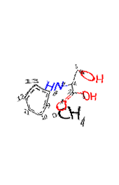 C.O=C(O)C(CO)Nc1ccccc1